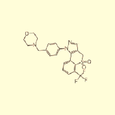 O=S1(=O)Cc2[c]nn(-c3ccc(CN4CCOCC4)cc3)c2-c2cccc(C(F)(F)F)c21